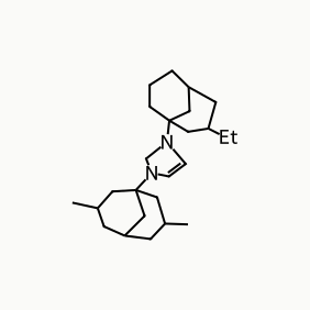 CCC1CC2CCCC(N3C=CN(C45CC(C)CC(CC(C)C4)C5)C3)(C1)C2